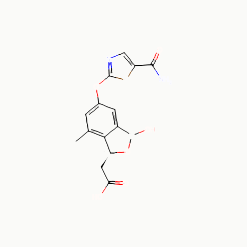 Cc1cc(Oc2ncc(C(N)=O)s2)cc2c1[C@H](CC(=O)O)OB2O